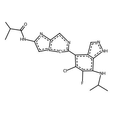 CC(C)Nc1c(F)c(Cl)c(-c2cn3cc(NC(=O)C(C)C)nc3cn2)c2cn[nH]c12